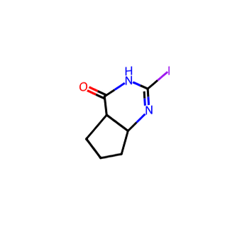 O=C1NC(I)=NC2CCCC12